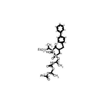 CCOC(=O)C(C)NC(=O)C(Cc1ccc(-c2ccccc2)cc1)CP(=O)(OO)OC(C)NC(=O)OC(C)OC(=O)C(C)C